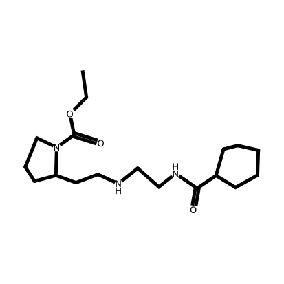 CCOC(=O)N1CCCC1CCNCCNC(=O)C1CCCCC1